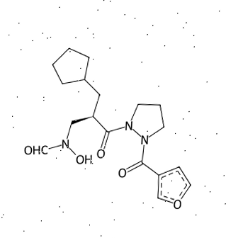 O=CN(O)C[C@@H](CC1CCCC1)C(=O)N1CCCN1C(=O)c1ccoc1